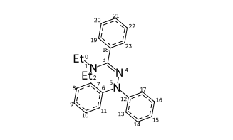 CCN(CC)C(=NN(c1ccccc1)c1ccccc1)c1ccccc1